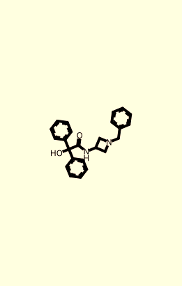 O=C(NC1CN(Cc2ccccc2)C1)C(O)(c1ccccc1)c1ccccc1